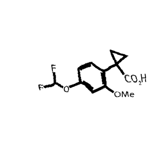 COc1cc(OC(F)F)ccc1C1(C(=O)O)CC1